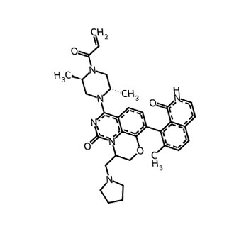 C=CC(=O)N1C[C@H](C)N(c2nc(=O)n3c4c(c(-c5c(C)ccc6cc[nH]c(=O)c56)ccc24)OCC3CN2CCCC2)C[C@H]1C